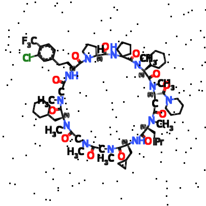 CC(C)C[C@H]1C(=O)N[C@@H](CC2CC2)C(=O)N(C)CC(=O)N(C)CC(=O)N(C)[C@@H](CC2CCCCC2)C(=O)N(C)CC(=O)N[C@@H](CCc2ccc(C(F)(F)F)c(Cl)c2)C(=O)N2CCC[C@H]2C(=O)NC2(CCCC2)C(=O)N(C)[C@@H](C2CCCCC2)C(=O)N(C)[C@H](C(=O)N2CCCCC2)CC(=O)N1C